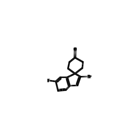 O=C1CCC2(CC1)C(Br)=Cc1ccc(F)cc12